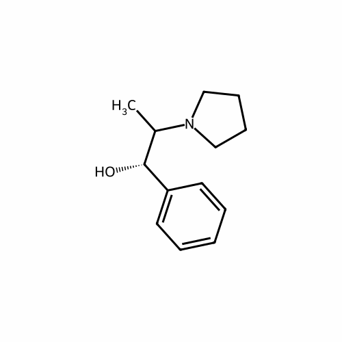 CC([C@@H](O)c1ccccc1)N1CCCC1